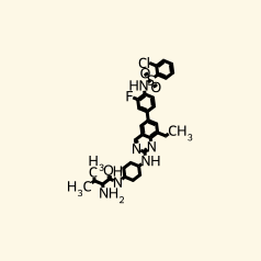 CCc1cc(-c2ccc(NS(=O)(=O)c3ccccc3Cl)c(F)c2)cc2cnc(NC3CCC(NC(=O)C(N)C(C)C)CC3)nc12